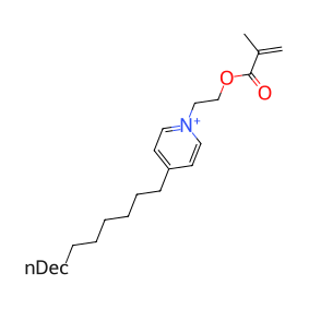 C=C(C)C(=O)OCC[n+]1ccc(CCCCCCCCCCCCCCCC)cc1